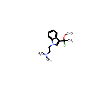 CN(C)CCn1cc(C(C)(Cl)OC=O)c2ccccc21